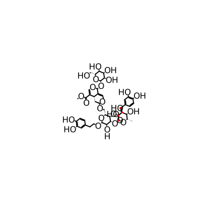 C/C=C1/[C@H](O[C@@H]2O[C@H](CO)[C@@H](O)[C@H](O)[C@H]2O)OC=C(C(=O)OC)[C@H]1CC(=O)OC[C@H]1O[C@@H](OCCc2ccc(O)c(O)c2)[C@H](O)[C@@H](O[C@@H]2O[C@@H](C)[C@H](O)[C@@H](O)[C@H]2O)[C@@H]1OC(=O)/C=C/c1ccc(O)c(O)c1